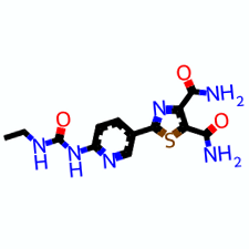 CCNC(=O)Nc1ccc(-c2nc(C(N)=O)c(C(N)=O)s2)cn1